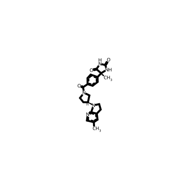 Cc1cnc2c(c1)CCN2[C@H]1CCN(C(=O)c2ccc([C@@]3(C)NC(=O)NC3=O)cc2)C1